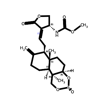 C=C1CC[C@@H]2[C@]3(C)COS(=O)O[C@@H]3CC[C@@]2(C)[C@@H]1C/C=C1/C(=O)OC[C@@H]1NC(=O)OC